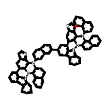 c1ccc2c(N3c4c(ccc5ccccc45)B4c5c(cc6sccc6c53)-c3cc(-c5ccc6ccc(N7c8ccc9ccccc9c8B8c9c(cc%10ccsc%10c97)-c7cccc9c%10ccccc%10n8c79)cc6c5)cc5c6ccccc6n4c35)cccc2c1